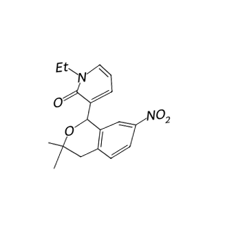 CCn1cccc(C2OC(C)(C)Cc3ccc([N+](=O)[O-])cc32)c1=O